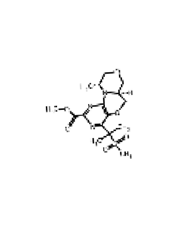 COC(=O)c1nc2c(c(C(C)(C)S(C)(=O)=O)n1)OC[C@@H]1COC[C@@H](C)N21